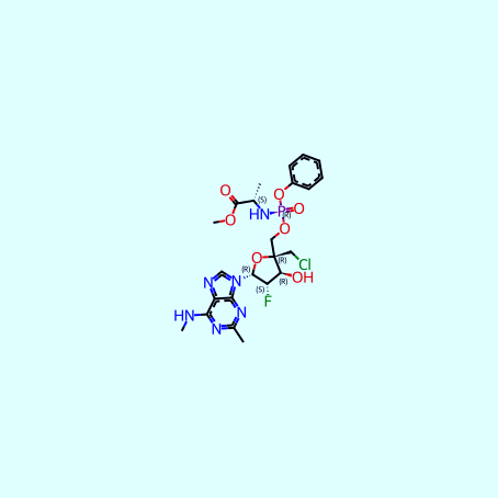 CNc1nc(C)nc2c1ncn2[C@@H]1O[C@](CCl)(CO[P@](=O)(N[C@@H](C)C(=O)OC)Oc2ccccc2)[C@@H](O)[C@@H]1F